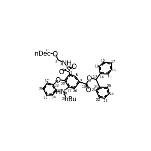 CCCCCCCCCCOCNS(=O)(=O)c1cc(C(=O)OC(c2ccccc2)c2ccccc2)cc(NCCCC)c1Oc1ccccc1